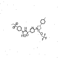 CCS(=O)(=O)c1ccc([C@H](CO)NC(=O)c2ccc(N3CC(c4ccc(C)cc4)C[C@H]3COCC(F)(F)F)nc2)cc1